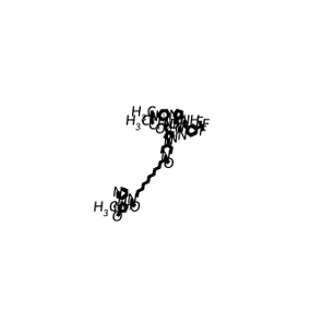 CC(C)N(C)[C@@H]1CCC(N2CC[C@H](Nc3ncnc4ccc(C(F)(F)F)cc34)C2=O)[C@H](NC(=O)c2cnn(C3CCN(C(=O)CCCCCCCCCCNC(=O)[C@H]4CC(=O)N(C)[C@@H]4c4cccnc4)CC3)c2)C1